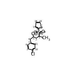 CC(CC(Cc1ccc(Cl)cc1)C(=O)O)S(=O)(=O)c1cccs1